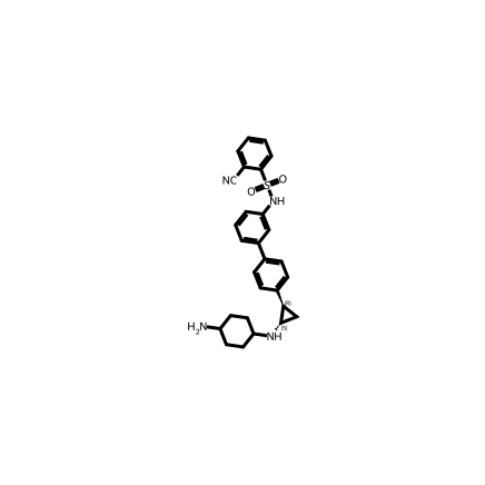 N#Cc1ccccc1S(=O)(=O)Nc1cccc(-c2ccc([C@H]3C[C@@H]3NC3CCC(N)CC3)cc2)c1